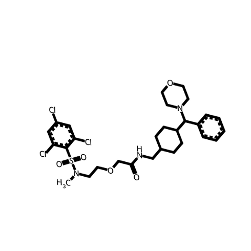 CN(CCOCC(=O)NCC1CCC(C(c2ccccc2)N2CCOCC2)CC1)S(=O)(=O)c1c(Cl)cc(Cl)cc1Cl